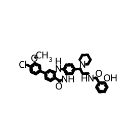 COc1cc(-c2ccc3c(c2)Nc2ccc(C(CCNC(=O)c4ccccc4O)N4CCCCC4)cc2NC3=O)ccc1Cl